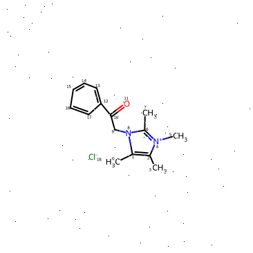 Cc1c(C)[n+](C)c(C)n1CC(=O)c1ccccc1.[Cl-]